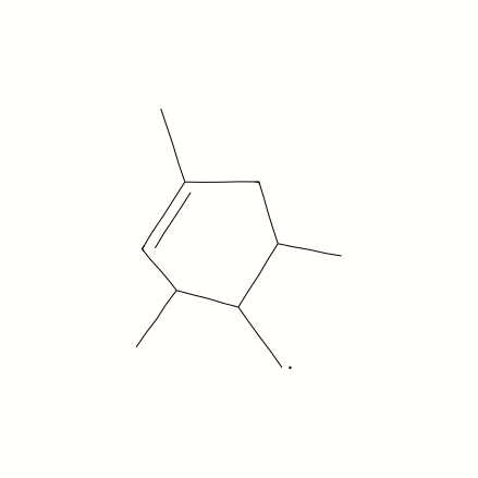 [CH2]C1C(C)C=C(C)CC1C